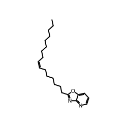 CCCCCCCC/C=C\CCCCCCc1nc2ncccc2o1